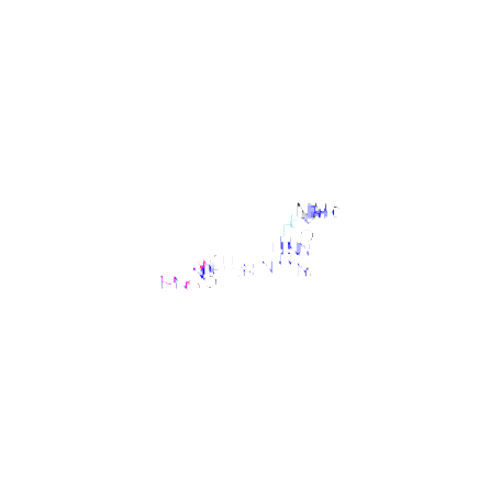 CN/C=C(\C=N)c1cc2c(cc1C(F)F)N(C(=N)C1=C(NC3CCN(CCN4CCC(CCc5cccc6c5n(C)c(=O)n6C5CCC(=O)NC5=O)CC4)CC3)CCN(C(C)=O)C1)CCC2